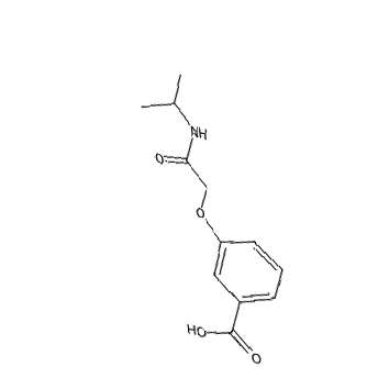 CC(C)NC(=O)COc1cccc(C(=O)O)c1